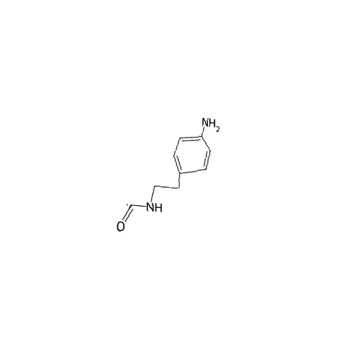 Nc1ccc(CCN[C]=O)cc1